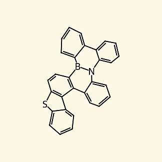 c1ccc2c(c1)B1c3ccc4sc5ccccc5c4c3-c3ccccc3N1c1ccccc1-2